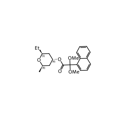 CC[C@H]1C[C@H](OC(=O)C(OC)(OC)c2cccc3ccccc23)C[C@@H](C)O1